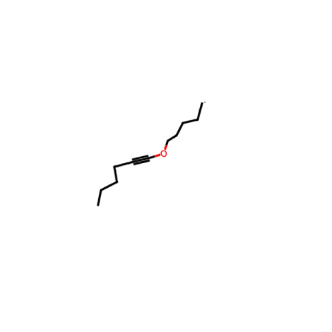 [CH2]CCCCOC#CCCCC